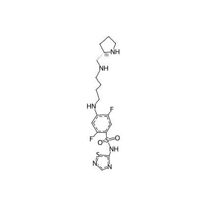 O=S(=O)(Nc1ncns1)c1cc(F)c(NCCCCNC[C@@H]2CCCN2)cc1F